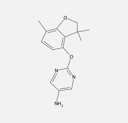 Cc1ccc(Oc2ncc(N)cn2)c2c1OCC2(C)C